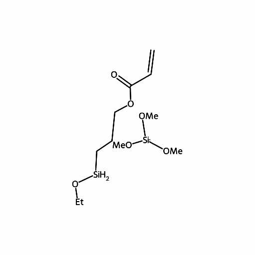 C=CC(=O)OCCC[SiH2]OCC.CO[Si](OC)OC